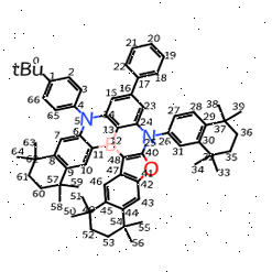 CC(C)(C)c1ccc(N2c3cc4c(cc3B3c5c2cc(-c2ccccc2)cc5N(c2ccc5c(c2)C(C)(C)CCC5(C)C)c2oc5cc6c(cc5c23)C(C)(C)CCC6(C)C)C(C)(C)CCC4(C)C)cc1